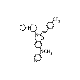 CN(c1ccncc1)c1ccc(CN(C(=O)/C=C/c2ccc(C(F)(F)F)cc2)[C@H]2CCCN(C3CCCC3)C2)cc1